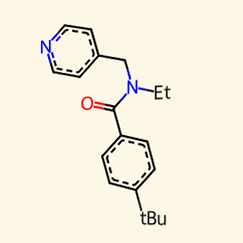 CCN(Cc1ccncc1)C(=O)c1ccc(C(C)(C)C)cc1